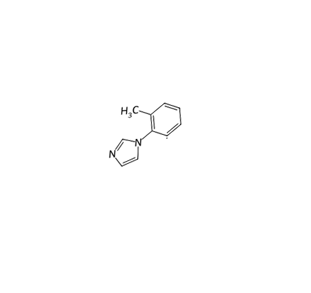 Cc1ccc[c]c1-n1ccnc1